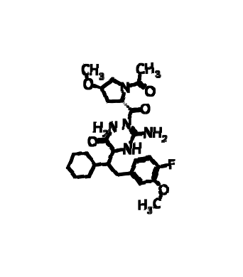 COc1cc(CC(C2CCCCC2)C(NC(N)=NC(=O)[C@@H]2C[C@@H](OC)CN2C(C)=O)C(N)=O)ccc1F